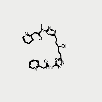 O=C(CC1=NC=CCC1)Nc1nnc(CCC(O)CCc2nnc(NC(=O)Cc3ccccn3)s2)s1